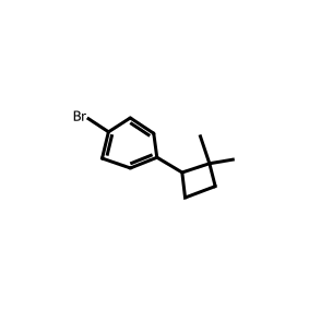 CC1(C)CCC1c1ccc(Br)cc1